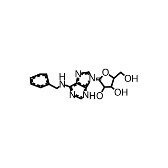 OCC1O[C@@H](n2cnc3c(NCc4ccccc4)ncnc32)C(O)C1O